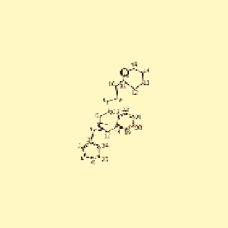 c1ccc(C[S+](CCCCCC2CCCCO2)Cc2ccccc2)cc1